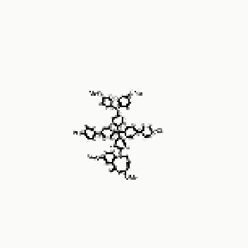 C=C1/C=C(OC)\C=C/CN(c2ccc(C(c3ccc(-c4ccc(C#N)cc4)cc3)(c3ccc(-c4ccc(C#N)cc4)cc3)c3ccc(-n4c5ccc(OC)cc5c5cc(OC)ccc54)cc3)cc2)c2ccc(OC)cc21